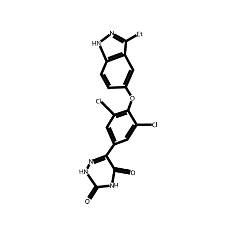 CCc1n[nH]c2ccc(Oc3c(Cl)cc(-c4n[nH]c(=O)[nH]c4=O)cc3Cl)cc12